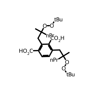 CCCC(C)(Cc1ccc(C(=O)O)c(CC(C)(CCC)OOC(C)(C)C)c1C(=O)O)OOC(C)(C)C